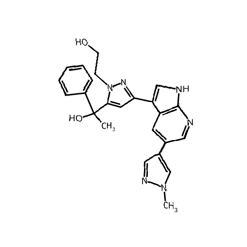 Cn1cc(-c2cnc3[nH]cc(-c4cc(C(C)(O)c5ccccc5)n(CCO)n4)c3c2)cn1